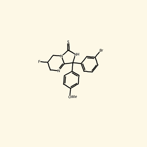 COc1ccc(C2(c3cccc(Br)c3)NC(=S)N3CC(F)CN=C32)cc1